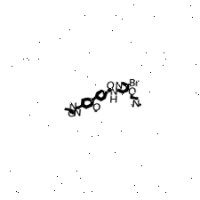 COc1cc(-c2noc(C)n2)ccc1-c1ccc(C(=O)Nc2cc(OCCN(C)C)c(Br)cn2)cc1